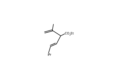 C=C(C)C(/C=C/C(C)C)C(=O)OCC